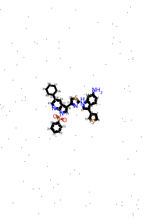 Nc1ccc2c(-c3ccsc3)c[nH]c2c1.O=S(=O)(c1ccccc1)n1cc(-c2cscn2)c2cc(C3CCCCC3)cnc21